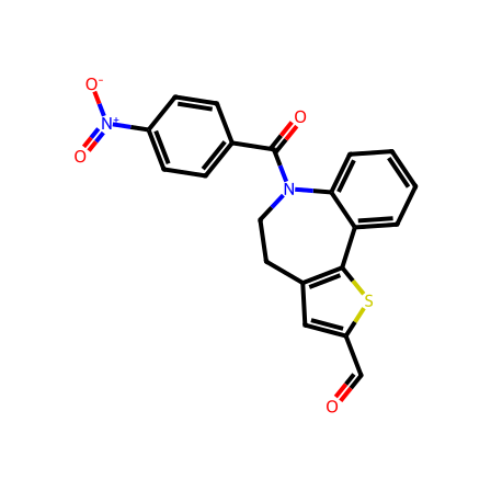 O=Cc1cc2c(s1)-c1ccccc1N(C(=O)c1ccc([N+](=O)[O-])cc1)CC2